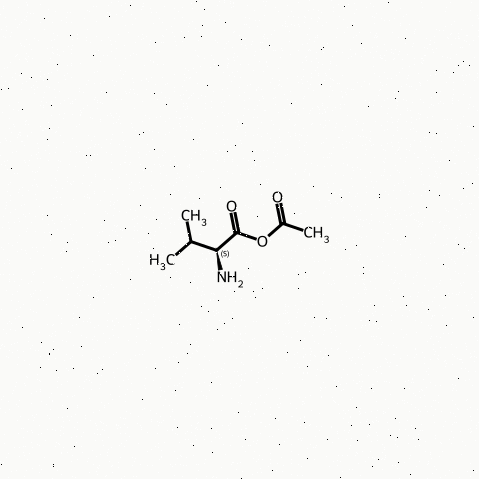 CC(=O)OC(=O)[C@@H](N)C(C)C